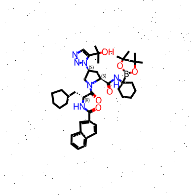 CC(C)(O)c1cnnn1[C@H]1C[C@@H](C(=O)NC2(B3OC(C)(C)C(C)(C)O3)CCCCC2)N(C(=O)[C@@H](CC2CCCCC2)NC(=O)c2ccc3ccccc3c2)C1